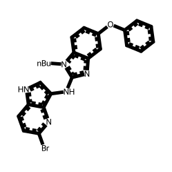 CCCCn1c(Nc2c[nH]c3ccc(Br)nc23)nc2cc(Oc3ccccc3)ccc21